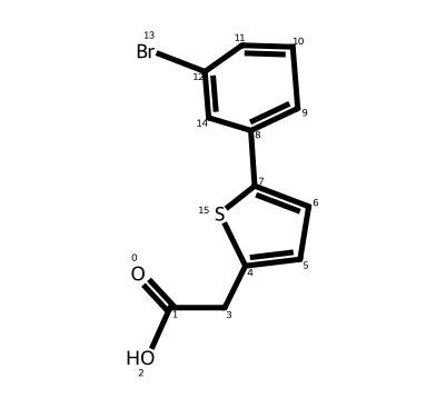 O=C(O)Cc1ccc(-c2cccc(Br)c2)s1